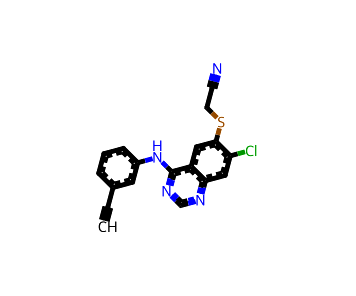 C#Cc1cccc(Nc2ncnc3cc(Cl)c(SCC#N)cc23)c1